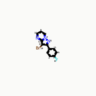 Fc1ccc(-c2nn3cccnc3c2Br)cc1